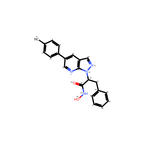 N#Cc1ccc(-c2cnc3c(cnn3C(Cc3ccccc3)C(=O)NO)c2)cc1